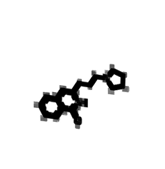 O=c1[nH]c(CCCN2CCCC2)cc2ccccc12